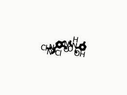 Cc1cccc([C@@H](CO)NC(=O)C(C)N2Cc3ccc(-c4nc(Cl)ncc4Cl)cc3C2=O)c1